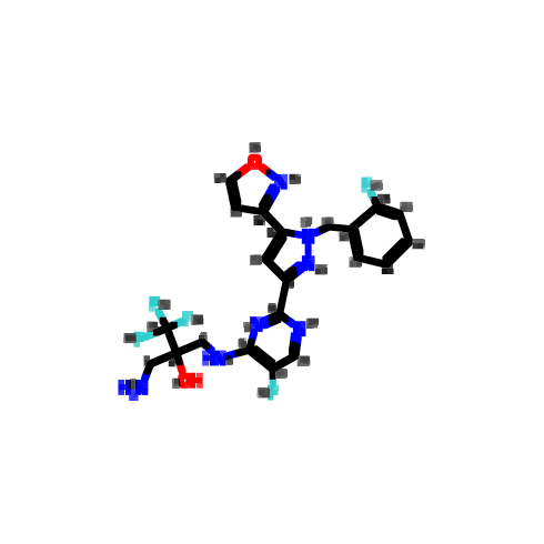 NCC(O)(CNc1nc(-c2cc(-c3ccon3)n(Cc3ccccc3F)n2)ncc1F)C(F)(F)F